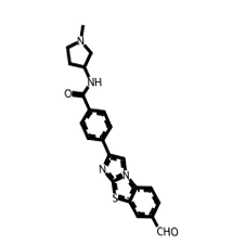 CN1CCC(NC(=O)c2ccc(-c3cn4c(n3)sc3cc(C=O)ccc34)cc2)C1